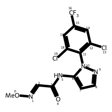 CON=CC(=O)Nc1ccnn1-c1c(Cl)cc(C(F)(F)F)cc1Cl